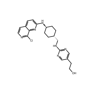 OCCc1cnc(NC[C@H]2CC[C@H](Nc3ccc4ccnc(Cl)c4n3)CC2)nc1